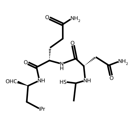 CC(C)C[C@@H](C=O)NC(=O)[C@H](CCC(N)=O)NC(=O)[C@H](CC(N)=O)NC(C)S